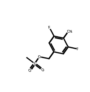 CS(=O)(=O)OCc1cc(F)c(C#N)c(F)c1